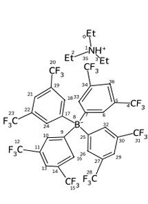 CC[NH+](CC)CC.FC(F)(F)c1cc([B-](c2cc(C(F)(F)F)cc(C(F)(F)F)c2)(c2cc(C(F)(F)F)cc(C(F)(F)F)c2)c2cc(C(F)(F)F)cc(C(F)(F)F)c2)cc(C(F)(F)F)c1